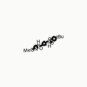 COc1ccc(NC(=O)c2ccc(CNS(=O)(=O)c3ccc(C(C)(C)C)cc3)cc2)cn1